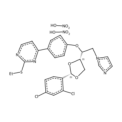 CCSc1nccc(-c2ccc(OC(Cn3ccnc3)[C@@H]3CO[C@H](c4ccc(Cl)cc4Cl)O3)cc2)n1.O=[N+]([O-])O.O=[N+]([O-])O